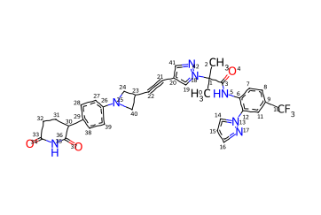 CC(C)(C(=O)Nc1ccc(C(F)(F)F)cc1-n1cccn1)n1cc(C#CC2CN(c3ccc(C4CCC(=O)NC4=O)cc3)C2)cn1